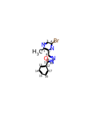 Cc1ncc(Br)nc1-c1nnc(-c2ccccc2)o1